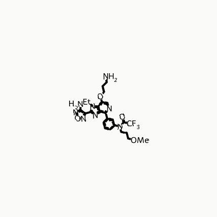 CCn1c(-c2nonc2N)nc2c(-c3cccc(N(CCCOC)C(=O)C(F)(F)F)c3)ncc(OCCCN)c21